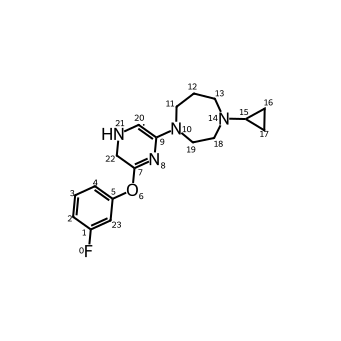 Fc1cccc(OC2=NC(N3CCCN(C4CC4)CC3)=[C]NC2)c1